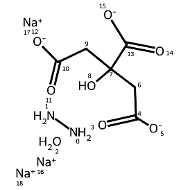 NN.O.O=C([O-])CC(O)(CC(=O)[O-])C(=O)[O-].[Na+].[Na+].[Na+]